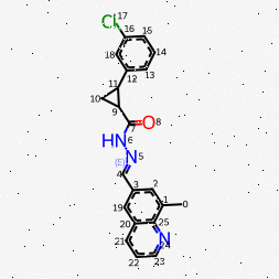 Cc1cc(/C=N/NC(=O)C2CC2c2cccc(Cl)c2)cc2cccnc12